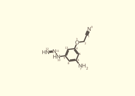 N#CCOc1cc(N)cc(NN=N)c1